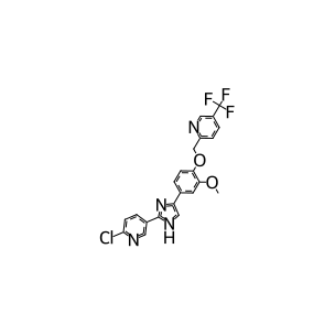 COc1cc(-c2c[nH]c(-c3ccc(Cl)nc3)n2)ccc1OCc1ccc(C(F)(F)F)cn1